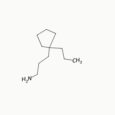 CCCC1(CCCN)CCCC1